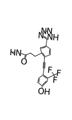 CCNC(=O)CCc1cc(-c2nnn[nH]2)ccc1C#Cc1ccc(O)cc1C(F)(F)F